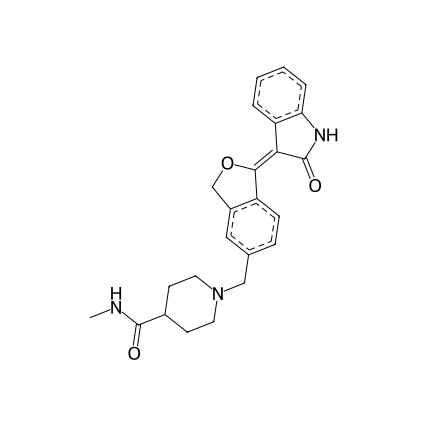 CNC(=O)C1CCN(Cc2ccc3c(c2)COC3=C2C(=O)Nc3ccccc32)CC1